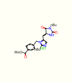 CCCCc1ncc(/C=C2\NC(=O)N(CCCC)C2=O)n1Cc1ccc(C(=O)OC)cc1.Cl